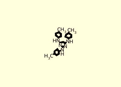 Cc1ccc(Nc2cc(Nc3ccc(C)cc3)nc(Nc3ccc(C)cc3)n2)cc1